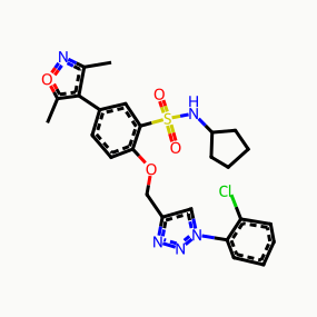 Cc1noc(C)c1-c1ccc(OCc2cn(-c3ccccc3Cl)nn2)c(S(=O)(=O)NC2CCCC2)c1